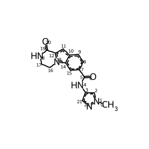 Cn1cc(NC(=O)c2ccc3cc4n(c3c2)CCNC4=O)cn1